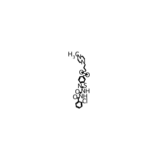 CN1CCN(CCCS(=O)(=O)c2ccc3nc(NC(=O)NC(=O)c4ccccc4Cl)sc3c2)CC1